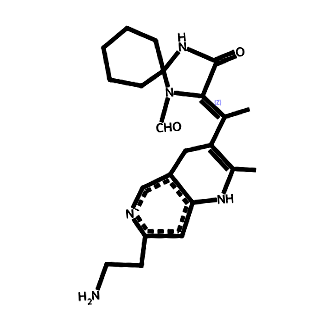 CC1=C(/C(C)=C2/C(=O)NC3(CCCCC3)N2C=O)Cc2cnc(CCN)cc2N1